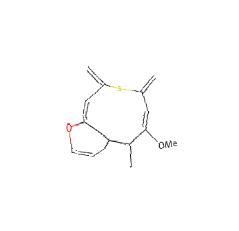 C=C1/C=C(/OC)C(C)C2C=CO/C2=C/C(=C)S1